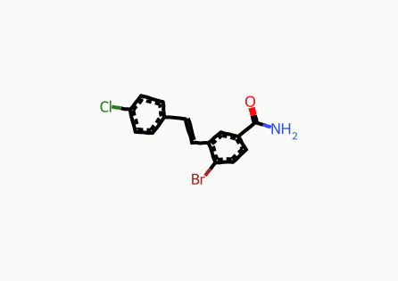 NC(=O)c1ccc(Br)c(C=Cc2ccc(Cl)cc2)c1